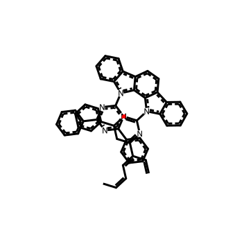 C=C/C(=C\C=C/C)C1=NC(n2c3ccccc3c3ccc4c5ccccc5n(-c5nc(-c6ccccc6)nc(-c6ccccc6)n5)c4c32)=NC(c2ccccc2)C1